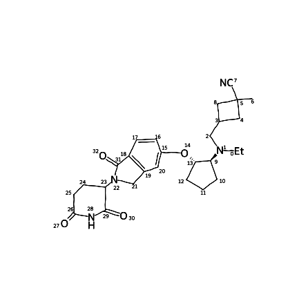 CCN(CC1CC(C)(C#N)C1)[C@H]1CCC[C@@H]1Oc1ccc2c(c1)CN(C1CCC(=O)NC1=O)C2=O